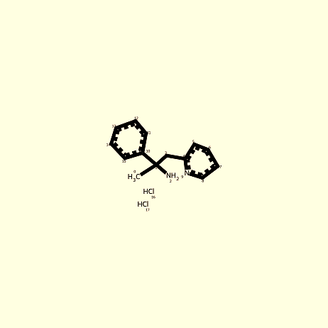 CC(N)(Cc1ccccn1)c1ccccc1.Cl.Cl